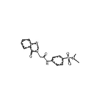 CN(C)S(=O)(=O)c1ccc(NC(=O)Cn2cnc3ccccc3c2=O)cc1